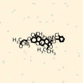 CCC12CCC3(C)C4CCC5(c6nnc(-c7ccccc7Cl)o6)COC(C(C)C)=C5C4CCC3C1(C)CCC(OC(=O)CC(C)(C)C=O)C2C